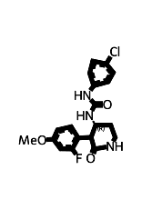 COc1ccc(C2C(=O)NCC[C@H]2NC(=O)Nc2ccc(Cl)cc2)c(F)c1